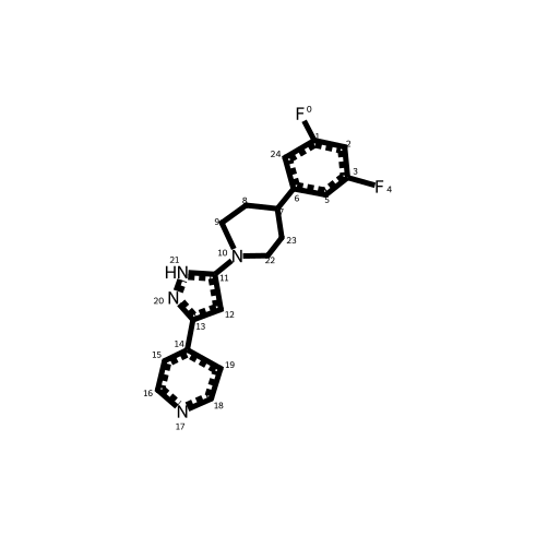 Fc1cc(F)cc(C2CCN(c3cc(-c4ccncc4)n[nH]3)CC2)c1